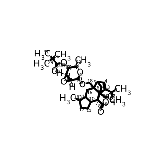 CC(C)C1=CC2CC3(C=O)C4CCC(C)C4CC2(CO[C@@H]2O[C@H](C)[C@@H](OC(=O)C(C)(C)C)[C@@H]4O[C@H]24)C13C(=O)O